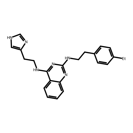 CCc1ccc(CCNc2nc(NCCc3c[nH]cn3)c3ccccc3n2)cc1